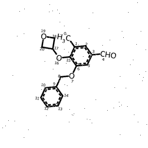 Cc1cc(C=O)cc(OCc2ccccc2)c1OC1COC1